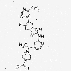 Cc1cc(-c2cc3[nH]c(Nc4cc(C(C)N5CCN(C(=O)C6CC6)CC5)ccn4)nc3cc2F)ncn1